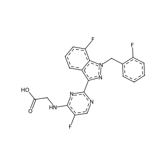 O=C(O)CNc1nc(-c2nn(Cc3ccccc3F)c3c(F)cccc23)ncc1F